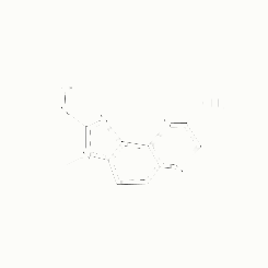 Cc1cnc2ccc3c(nc(NO)n3C)c2n1